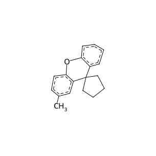 Cc1ccc2c(c1)C1(CCCC1)c1ccccc1O2